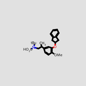 COc1ccc(C(C)CN(C(=O)O)C(C)(C)C)cc1OC1Cc2ccccc2C1